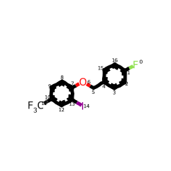 Fc1ccc(COc2ccc(C(F)(F)F)cc2I)cc1